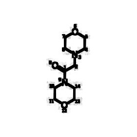 O=C(CN1CCOCC1)N1CCOCC1